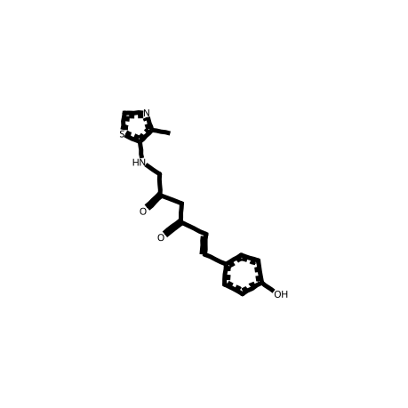 Cc1ncsc1NCC(=O)CC(=O)C=Cc1ccc(O)cc1